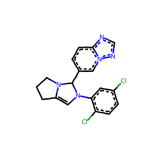 Clc1ccc(Cl)c(N2C=C3CCCN3C2c2ccc3ncnn3c2)c1